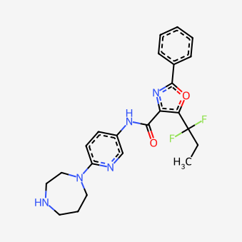 CCC(F)(F)c1oc(-c2ccccc2)nc1C(=O)Nc1ccc(N2CCCNCC2)nc1